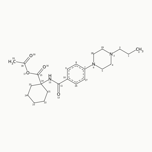 CCCN1CCN(c2ccc(C(=O)NC3(C(=O)OC(C)=O)CCCCC3)cc2)CC1